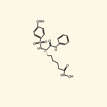 COc1ccc(S(=O)(=O)N[C@@H](CCCCCC(=O)NO)C(=O)Nc2ccccc2)cc1